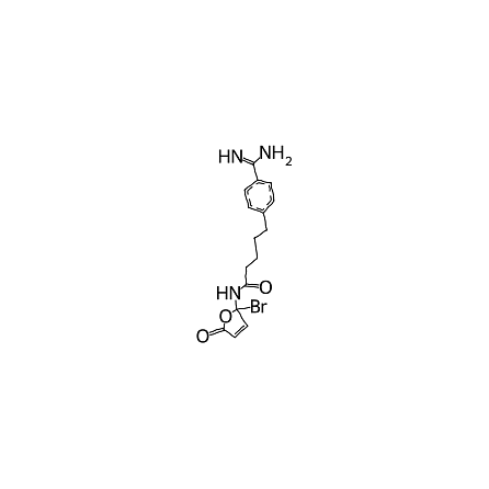 N=C(N)c1ccc(CCCCC(=O)NC2(Br)C=CC(=O)O2)cc1